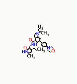 CCCc1cc(C)[nH]c(=O)c1CNC(=O)c1cc(-c2ccc(N3CCOCC3)cc2)cc2c1ccn2C(C)C